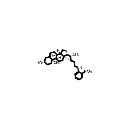 CNc1ccccc1NCCC[C@@H](C)[C@H]1CC[C@H]2[C@@H]3CC=C4C[C@@H](O)CC[C@]4(C)[C@H]3CC[C@]12C